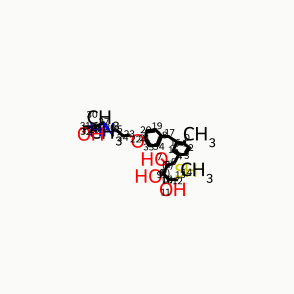 Cc1ccc(C2[C@H](O)[C@H](O)[C@H](O)C[SH]2C)cc1Cc1ccc(OCCCNCC(C)(C)CO)cc1